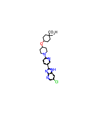 CC1(C(=O)O)CCC(OC2CCN(c3ccc(-c4nc5ncc(Cl)cc5[nH]4)cn3)CC2)CC1